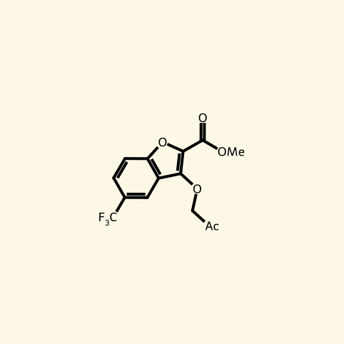 COC(=O)c1oc2ccc(C(F)(F)F)cc2c1OCC(C)=O